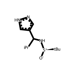 CC(C)C(N[S@+]([O-])C(C)(C)C)c1cn[nH]c1